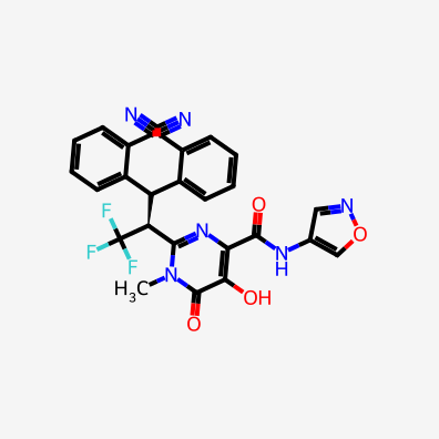 Cn1c([C@H](C(c2ccccc2C#N)c2ccccc2C#N)C(F)(F)F)nc(C(=O)Nc2cnoc2)c(O)c1=O